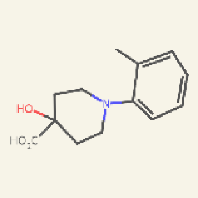 Cc1ccccc1N1CCC(O)(C(=O)O)CC1